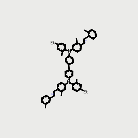 CCc1ccc(N(c2ccc(-c3ccc(N(c4ccc(/C=C/c5ccccc5C)c(C)c4)c4ccc(CC)cc4C)cc3)cc2)c2ccc(/C=C/c3cccc(C)c3)c(C)c2)c(C)c1